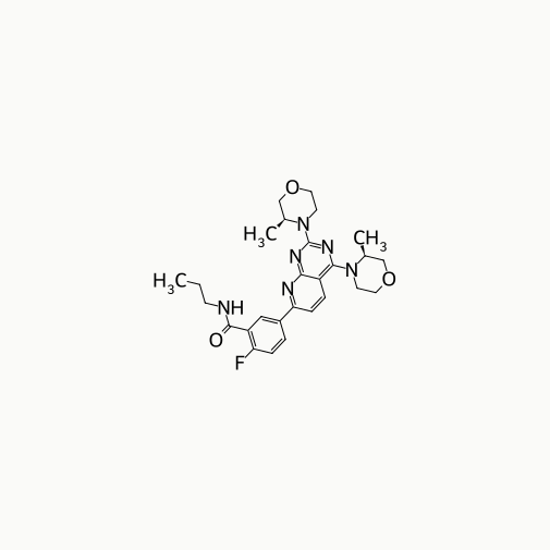 CCCNC(=O)c1cc(-c2ccc3c(N4CCOC[C@@H]4C)nc(N4CCOC[C@@H]4C)nc3n2)ccc1F